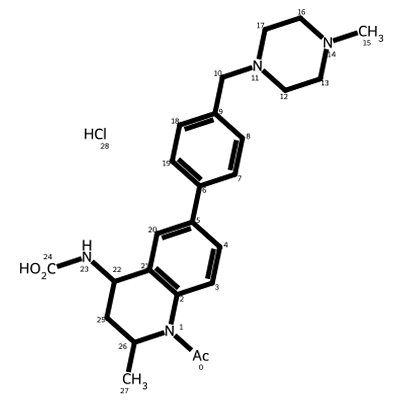 CC(=O)N1c2ccc(-c3ccc(CN4CCN(C)CC4)cc3)cc2C(NC(=O)O)CC1C.Cl